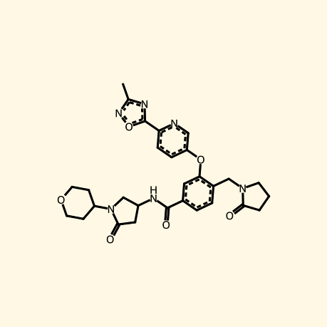 Cc1noc(-c2ccc(Oc3cc(C(=O)NC4CC(=O)N(C5CCOCC5)C4)ccc3CN3CCCC3=O)cn2)n1